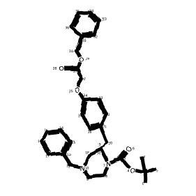 CC(C)(C)OC(=O)N1CCN(Cc2ccccc2)C[C@H]1Cc1ccc(OCC(=O)OCc2ccccc2)cc1